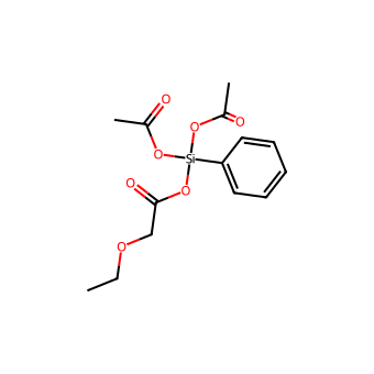 CCOCC(=O)O[Si](OC(C)=O)(OC(C)=O)c1ccccc1